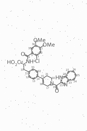 COc1cc(Cl)c(C(=O)N[C@@H](Cc2ccc(C3=CCN(C(=O)c4nc5ccccc5[nH]4)CC3)cc2)C(=O)O)cc1OC